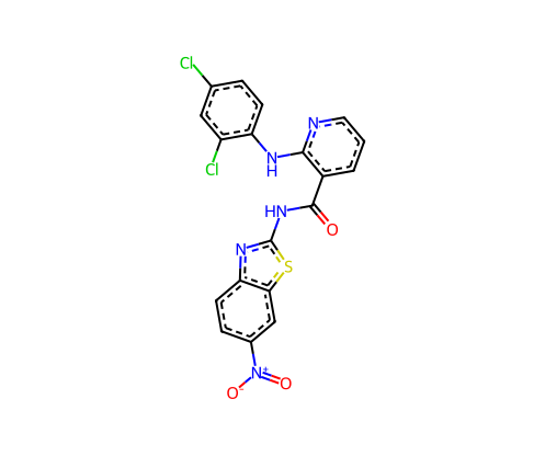 O=C(Nc1nc2ccc([N+](=O)[O-])cc2s1)c1cccnc1Nc1ccc(Cl)cc1Cl